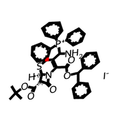 CC(C)(C)OC(=O)[C@H]1C(=O)N2C(C(=O)OC(c3ccccc3)c3ccccc3)=C(C(N)[P+](c3ccccc3)(c3ccccc3)c3ccccc3)CS[C@H]12.[I-]